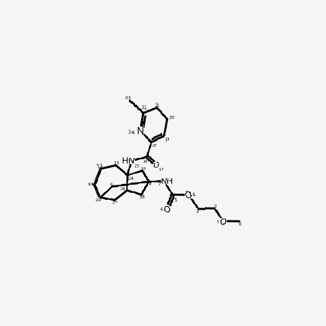 COCCOC(=O)NC12CC3CCCC(NC(=O)C4=CCCC(C)=N4)(C1)C(C3)C2